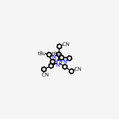 CC(C)(C)c1ccc2c(c1)c1ccccc1n2-c1cc(-c2cccc(C#N)c2)ccc1-c1nc(-c2ccc(-c3cccc(C#N)c3)cc2)nc(-c2ccc(-c3cccc(C#N)c3)cc2-n2c3ccccc3c3cc(C(C)(C)C)ccc32)n1